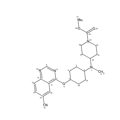 CN(C1CCC(Oc2ncnc3ccc(C#N)cc23)CC1)C1CCN(C(=O)OC(C)(C)C)CC1